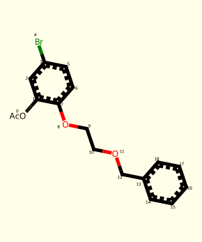 CC(=O)Oc1cc(Br)ccc1OCCOCc1ccccc1